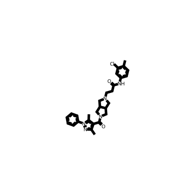 Cc1ccc(NC(=O)CCN2CC3CN(C(=O)c4c(C)nn(-c5ccccc5)c4C)CC3C2)cc1Cl